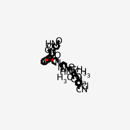 CC1(C)C(NC(=O)c2ccc(N3CCC(CN4CC5CC(C4)N5c4ccc5c(c4)C(=O)N(C4CCC(=O)NC4=O)C5=O)CC3)nn2)C(C)(C)C1Oc1ccc(C#N)c(Cl)c1